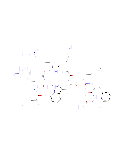 CC[C@H](C)[C@H](NC(=O)[C@H](Cc1ccccc1)NC(=O)[C@H](CCSC)NC(=O)[C@H](Cc1c[nH]c2ccccc12)NC(=O)[C@H](CCCCN)NC(=O)[C@H](CCCNC(=N)N)NC(=O)[C@H](CC(C)C)NC(=O)[C@H](CCCNC(=N)N)NC(=O)[C@@H](C)CC(=O)O)C(N)=O